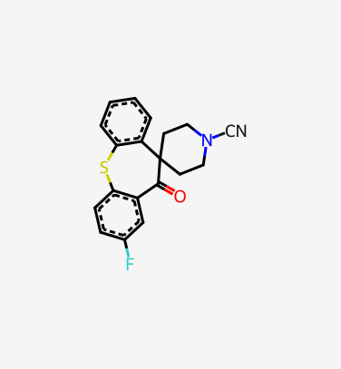 N#CN1CCC2(CC1)C(=O)c1cc(F)ccc1Sc1ccccc12